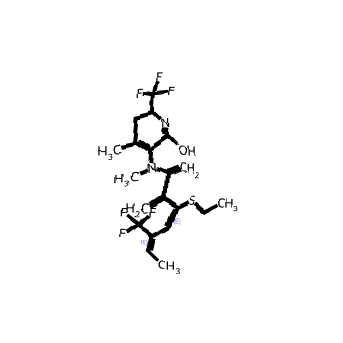 C=C(C(=C)N(C)C1=C(C)CC(C(F)(F)F)N=C1O)/C(=C\C(=C/C)C(F)(F)F)SCC